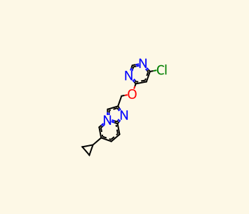 Clc1cc(OCc2cn3cc(C4CC4)ccc3n2)ncn1